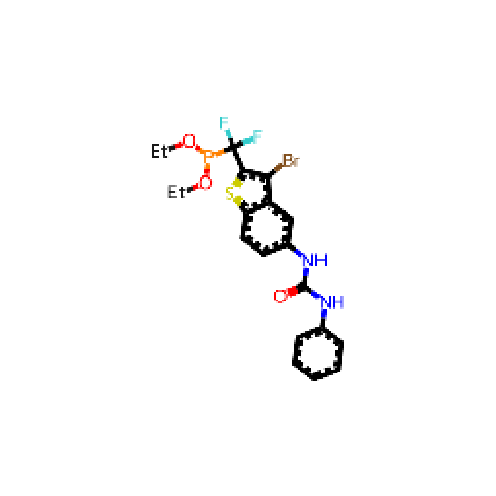 CCOP(OCC)C(F)(F)c1sc2ccc(NC(=O)Nc3ccccc3)cc2c1Br